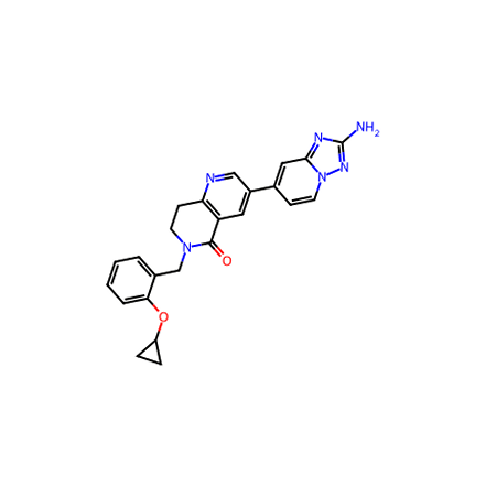 Nc1nc2cc(-c3cnc4c(c3)C(=O)N(Cc3ccccc3OC3CC3)CC4)ccn2n1